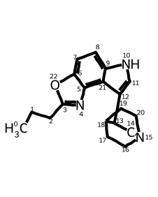 CCCc1nc2c(ccc3[nH]cc(C4CN5CCC4CC5)c32)o1